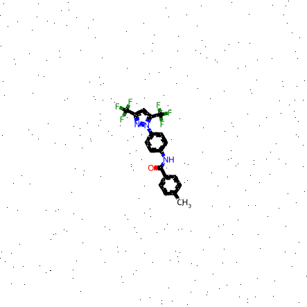 Cc1ccc(C(=O)Nc2ccc(-n3nc(C(F)(F)F)cc3C(F)(F)F)cc2)cc1